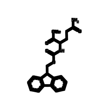 COC(=O)C(CCC(N)=O)NC(=O)OCC1c2ccccc2-c2ccccc21